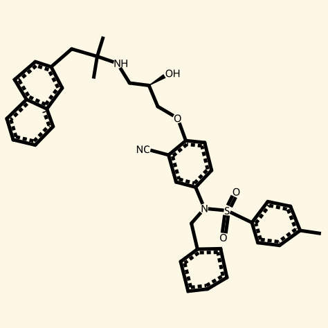 Cc1ccc(S(=O)(=O)N(Cc2ccccc2)c2ccc(OC[C@H](O)CNC(C)(C)Cc3ccc4ccccc4c3)c(C#N)c2)cc1